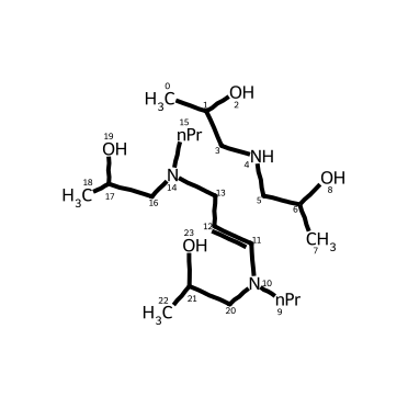 CC(O)CNCC(C)O.CCCN(C=CCN(CCC)CC(C)O)CC(C)O